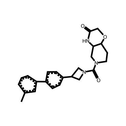 Cc1cccc(-c2ccc(C3CN(C(=O)N4CCC5OCC(=O)NC5C4)C3)cc2)c1